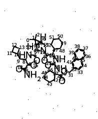 CC1(C)[C@@H]2[C@@H](C(=O)NC(CC3CCC3)C(=O)C(N)=O)N(C(=O)[C@@H](NC(=O)NC3(C(=O)OCc4ccc5ccccc5c4)CCCCC3)C3CCCCC3)C[C@@H]21